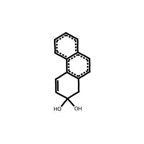 OC1(O)C=Cc2c(ccc3ccccc23)C1